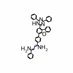 N/C(=C\C=C(/N)c1ccc(-c2ccc(C3=NC(c4ccccc4)=NC(c4ccccc4)N3)c3c2oc2ccccc23)cc1)c1ccccc1